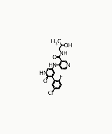 CC(O)CNC(=O)c1cnccc1Nc1c[nH]c(=O)c(-c2cc(Cl)ccc2F)c1